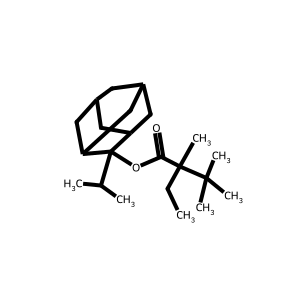 CCC(C)(C(=O)OC1(C(C)C)C2CC3CC(C2)CC1C3)C(C)(C)C